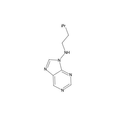 CC(C)CCNn1cnc2cncnc21